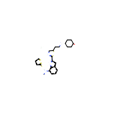 CN(c1cccc2cc(C3=NCC(CCN[C@H]4CC[C@](C)(O)CC4)S3)[nH]c12)S(=O)(=O)c1cccs1.Cl